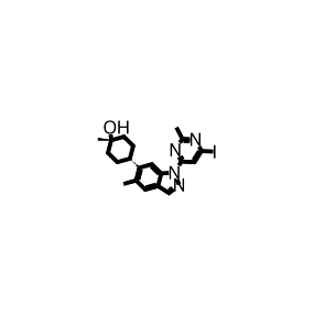 Cc1nc(I)cc(-n2ncc3cc(C)c([C@H]4CC[C@@](C)(O)CC4)cc32)n1